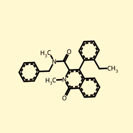 CCc1ccccc1-c1c(C(=O)N(C)Cc2ccccc2)n(C)c(=O)c2ccccc12